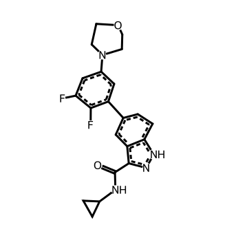 O=C(NC1CC1)c1n[nH]c2ccc(-c3cc(N4CCOCC4)cc(F)c3F)cc12